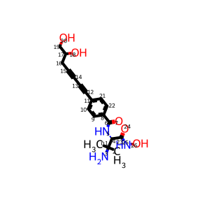 CC(C)(N)[C@H](NC(=O)c1ccc(C#CC#CCC(O)CO)cc1)C(=O)NO